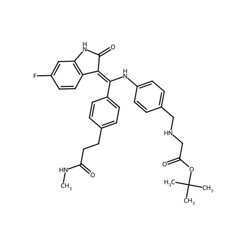 CNC(=O)CCc1ccc(/C(Nc2ccc(CNCC(=O)OC(C)(C)C)cc2)=C2/C(=O)Nc3cc(F)ccc32)cc1